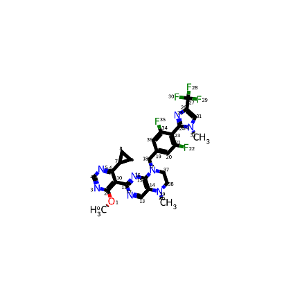 COc1ncnc(C2CC2)c1-c1ncc2c(n1)N(Cc1cc(F)c(-c3nc(C(F)(F)F)cn3C)c(F)c1)CCN2C